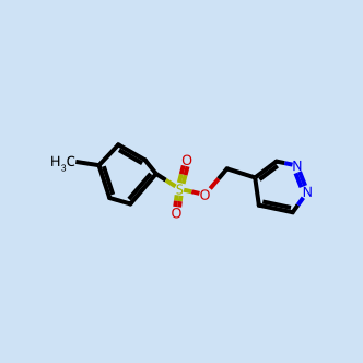 Cc1ccc(S(=O)(=O)OCc2ccnnc2)cc1